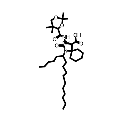 CCCCCCCCCCC(CCCCC)N(C(N)=O)C1(C(CNC(=O)C2OC(C)(C)OCC2(C)C)C(=O)O)CCCCC1